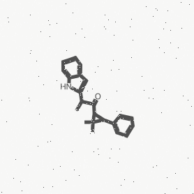 CC(C(=O)C1C(c2ccccc2)C1(C)C)c1cc2ccccc2[nH]1